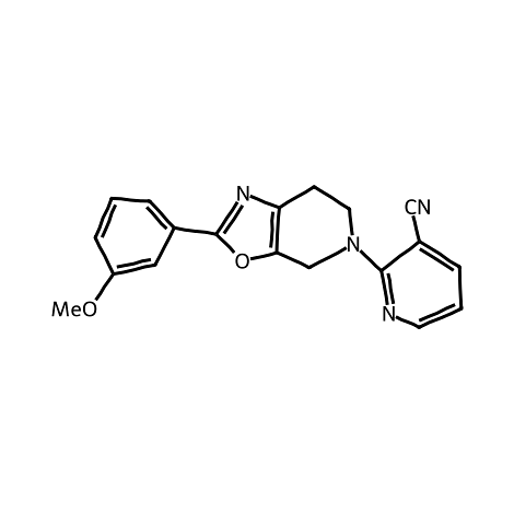 COc1cccc(-c2nc3c(o2)CN(c2ncccc2C#N)CC3)c1